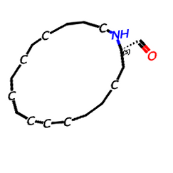 O=C[C@@H]1CCCCCCCCCCCCCCCCN1